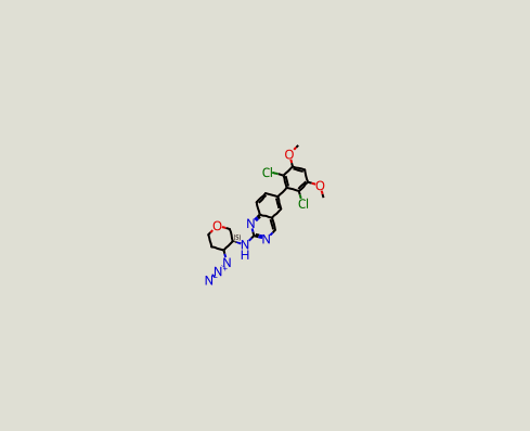 COc1cc(OC)c(Cl)c(-c2ccc3nc(N[C@@H]4COCCC4N=[N+]=[N-])ncc3c2)c1Cl